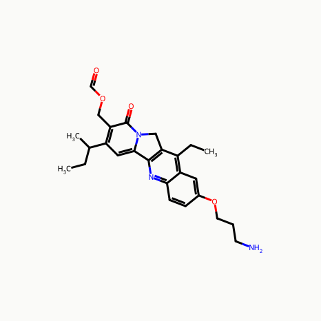 CCc1c2c(nc3ccc(OCCCN)cc13)-c1cc(C(C)CC)c(COC=O)c(=O)n1C2